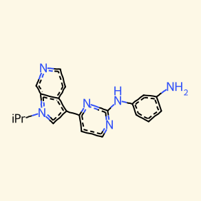 CC(C)n1cc(-c2ccnc(Nc3cccc(N)c3)n2)c2ccncc21